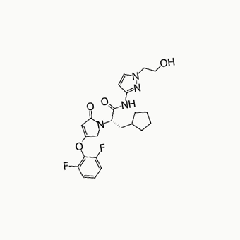 O=C(Nc1ccn(CCO)n1)[C@H](CC1CCCC1)N1CC(Oc2c(F)cccc2F)=CC1=O